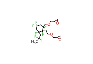 CC(F)(F)CC1(F)CC(F)(F)CC(F)(COCC2CO2)C1(F)C(F)COCC1CO1